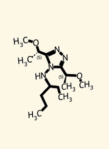 CCCC(CC)Nn1c([C@H](C)OC)nnc1[C@H](C)OC